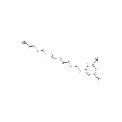 CCCCC=CCCCC=CCCCCCCc1cc(O)cc(O)c1